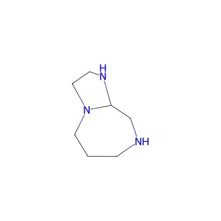 C1CNCC2NCCN2C1